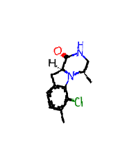 Cc1ccc2c(c1Cl)N1[C@H](C)CNC(=O)[C@@H]1C2